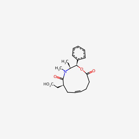 C[C@H]1[C@@H](c2ccccc2)OC(=O)CCC=CC[C@@H](CC(=O)O)C(=O)N1C